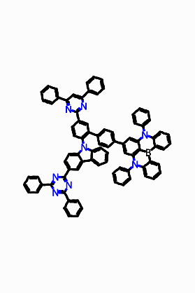 c1ccc(-c2cc(-c3ccccc3)nc(-c3ccc(-n4c5ccccc5c5cc(-c6nc(-c7ccccc7)nc(-c7ccccc7)n6)ccc54)c(-c4ccc(-c5cc6c7c(c5)N(c5ccccc5)c5ccccc5B7c5ccccc5N6c5ccccc5)cc4)c3)n2)cc1